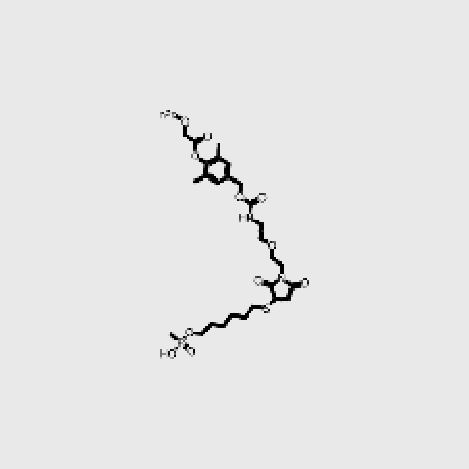 CCCOCC(=O)Oc1c(C)cc(COC(=O)NCCOCCN2C(=O)CC(SCCCCCCOP(C)(=O)O)C2=O)cc1C